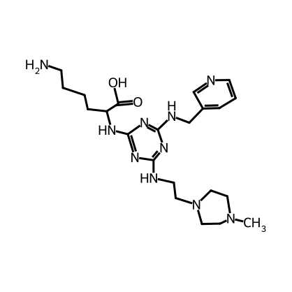 CN1CCN(CCNc2nc(NCc3cccnc3)nc(NC(CCCCN)C(=O)O)n2)CC1